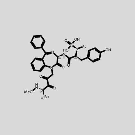 CC[C@H](C)[C@H](NOC)C(=O)C(=O)CN1C(=O)[C@H](NC(=O)[C@H](Cc2ccc(O)cc2)N(C(C)=O)P(=O)(O)O)N=C(c2ccccc2)c2ccccc21